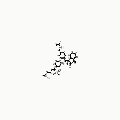 CC(=O)NCc1ccc(/C(Nc2cccc(N(CCCN(C)C)S(C)(=O)=O)c2)=C2/C(=O)Nc3ccccc32)cc1